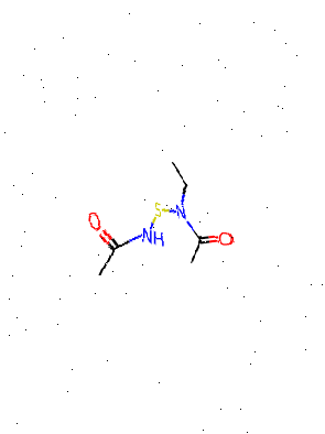 CCN(SNC(C)=O)C(C)=O